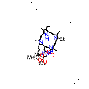 C=Cc1c(C)c2cc3nc(c(CC(=O)OC)c4[nH]c(cc5nc(cc1[nH]2)C(C)=C5CC)c(C)c4C(=O)NCCC(=O)OC(C)(C)C)[C@@H](CCCC(=O)OC)[C@@H]3C